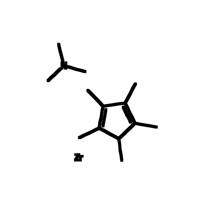 CC1=C(C)C(C)C(C)=C1C.CN(C)C.[Zr]